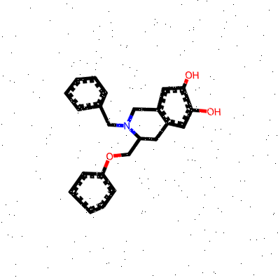 Oc1cc2c(cc1O)CN(Cc1ccccc1)C(COc1ccccc1)C2